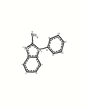 Bc1nc2ccccc2n1-c1ccccc1